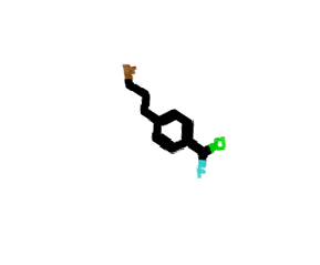 FC(Cl)c1ccc(CCCBr)cc1